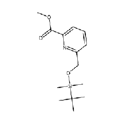 COC(=O)c1cccc(CO[Si](C)(C)C(C)(C)C)n1